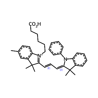 Cc1ccc2c(c1)C(C)(C)C(/C=C/C=C1\N(c3ccccc3)c3ccccc3C1(C)C)=[N+]2CCCCCC(=O)O